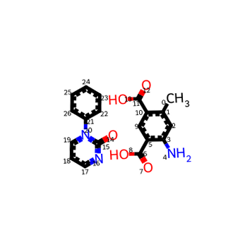 Cc1cc(N)c(C(=O)O)cc1C(=O)O.O=c1ncccn1-c1ccccc1